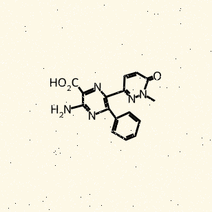 Cn1nc(-c2nc(C(=O)O)c(N)nc2-c2ccccc2)ccc1=O